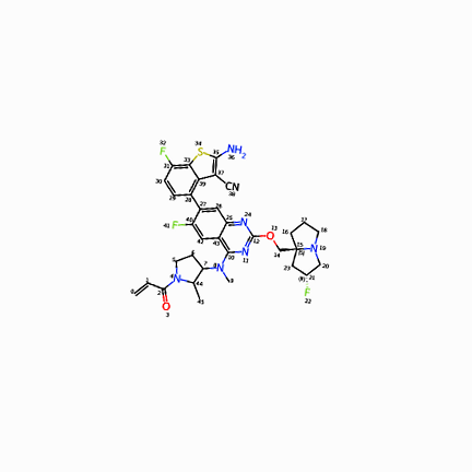 C=CC(=O)N1CCC(N(C)c2nc(OC[C@@]34CCCN3C[C@H](F)C4)nc3cc(-c4ccc(F)c5sc(N)c(C#N)c45)c(F)cc23)C1C